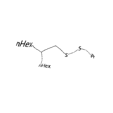 CCCCCCC(CCCCCC)CSSC(C)C